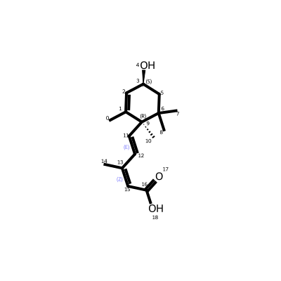 CC1=C[C@@H](O)CC(C)(C)[C@@]1(C)/C=C/C(C)=C\C(=O)O